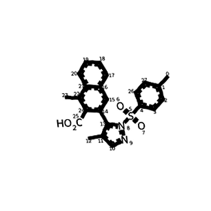 Cc1ccc(S(=O)(=O)n2ncc(C)c2-c2cc3ccccc3c(C)c2C(=O)O)cc1